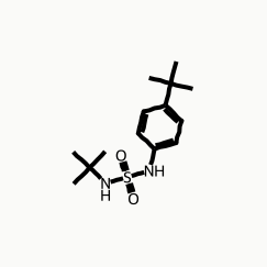 CC(C)(C)NS(=O)(=O)Nc1ccc(C(C)(C)C)cc1